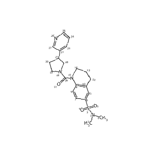 CN(C)S(=O)(=O)c1ccc2c(c1)CCCN2C(=O)N1CCC(c2cccnc2)C1